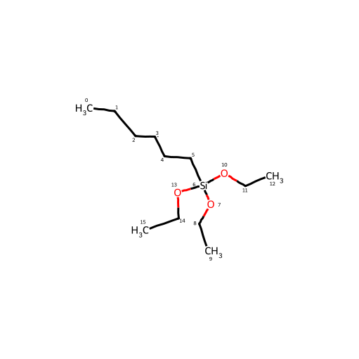 CCC[CH]CC[Si](OCC)(OCC)OCC